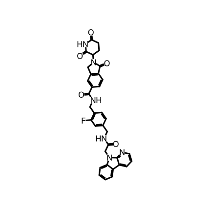 O=C(Cn1c2ccccc2c2cccnc21)NCc1ccc(CNC(=O)c2ccc3c(c2)CN(C2CCC(=O)NC2=O)C3=O)c(F)c1